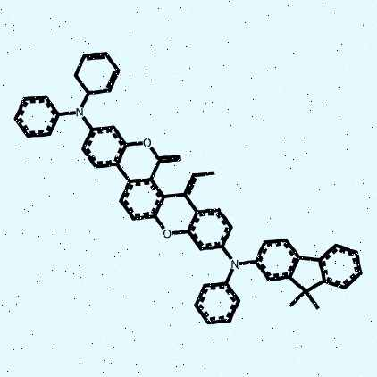 C=C1Oc2cc(N(c3ccccc3)C3C=CC=CC3)ccc2-c2ccc3c(c21)C(=CC)c1ccc(N(c2ccccc2)c2ccc4c(c2)C(C)(C)c2ccccc2-4)cc1O3